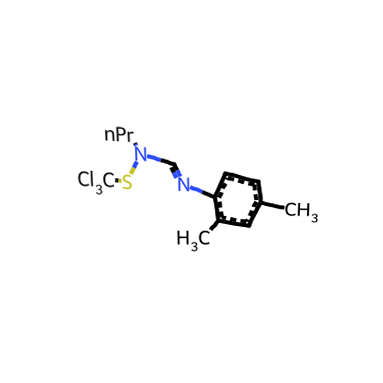 CCCN(C=Nc1ccc(C)cc1C)SC(Cl)(Cl)Cl